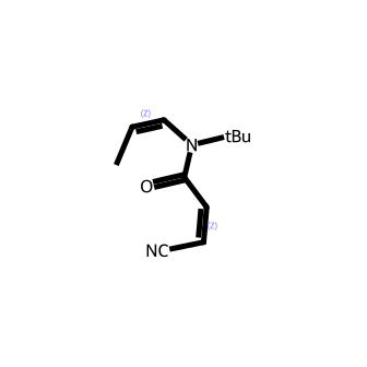 C/C=C\N(C(=O)/C=C\C#N)C(C)(C)C